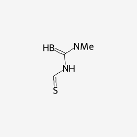 B=C(NC)NC=S